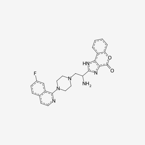 NC(CN1CCN(c2nccc3ccc(F)cc23)CC1)c1nc2c(=O)oc3ccccc3c2[nH]1